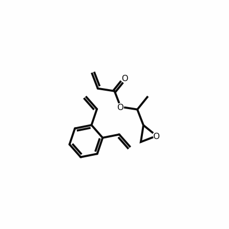 C=CC(=O)OC(C)C1CO1.C=Cc1ccccc1C=C